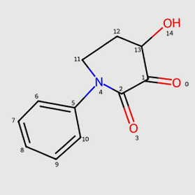 O=C1C(=O)N(c2ccccc2)CCC1O